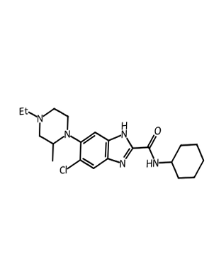 CCN1CCN(c2cc3[nH]c(C(=O)NC4CCCCC4)nc3cc2Cl)C(C)C1